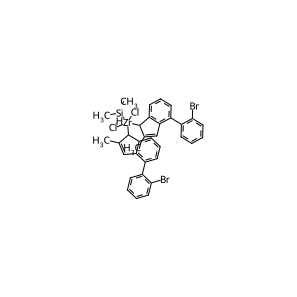 CC1=Cc2c(-c3ccccc3Br)cccc2[CH]1[Zr]([Cl])([Cl])([CH]1C(C)=Cc2c(-c3ccccc3Br)cccc21)[SiH](C)C